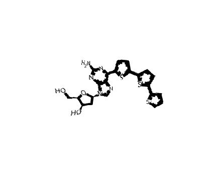 Nc1nc(-c2ccc(-c3ccc(-c4cccs4)s3)s2)c2ncn([C@H]3C[C@@H](O)[C@@H](CO)O3)c2n1